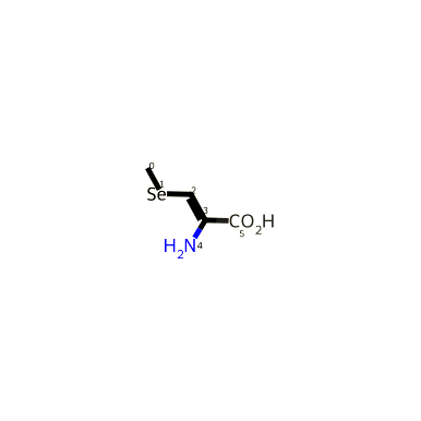 C[Se]C=C(N)C(=O)O